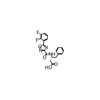 O=C(O)C[C@@H](Cc1ccccc1)NC(=O)c1noc(-c2cccc(F)c2F)n1